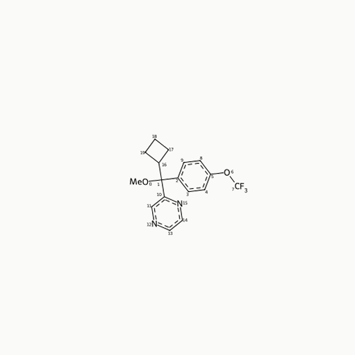 COC(c1ccc(OC(F)(F)F)cc1)(c1cnccn1)C1CCC1